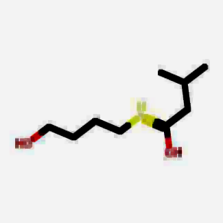 CC(C)CC(O)=[SH]CCCCO